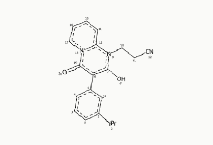 CC(C)c1cccc(-c2c(O)n(CCC#N)c3cccc[n+]3c2=O)c1